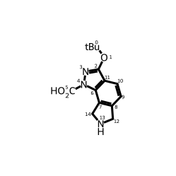 CC(C)(C)Oc1nn(C(=O)O)c2c3c(ccc12)CNC3